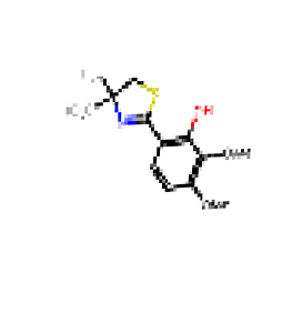 COc1ccc(C2=N[C@@](C)(C(=O)O)CS2)c(O)c1OC